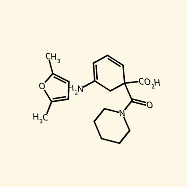 Cc1ccc(C)o1.NC1=CC=CC(C(=O)O)(C(=O)N2CCCCC2)C1